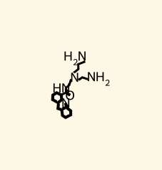 NCCCCN(CCCN)CCNC(=O)c1cccc2cc3ccccc3nc12